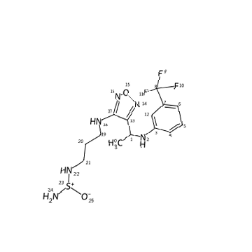 CC(Nc1cccc(C(F)(F)F)c1)c1nonc1NCCCN[S+](N)[O-]